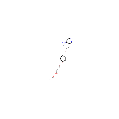 CCOC(=O)CCCOc1ccc(OCCCc2cnccc2N(C)C)cc1